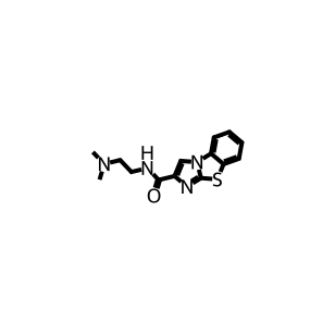 CN(C)CCNC(=O)c1cn2c(n1)sc1ccccc12